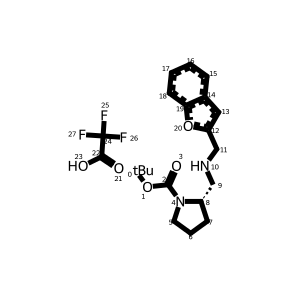 CC(C)(C)OC(=O)N1CCC[C@H]1CNCc1cc2ccccc2o1.O=C(O)C(F)(F)F